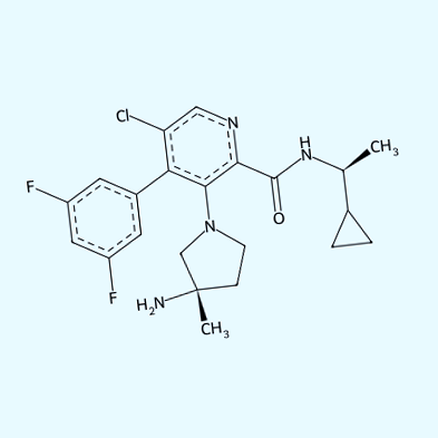 C[C@H](NC(=O)c1ncc(Cl)c(-c2cc(F)cc(F)c2)c1N1CC[C@](C)(N)C1)C1CC1